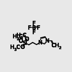 C=CN1C=CN(CCC[Si](OC)(OC)OC)C1.F[B-](F)(F)F